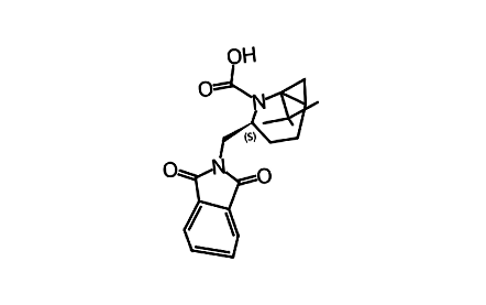 CC(C)(C)C12CC1CC[C@@H](CN1C(=O)c3ccccc3C1=O)N2C(=O)O